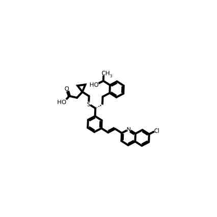 CC(O)c1ccccc1CC[C@@H](SCC1(CC(=O)O)CC1)c1cccc(/C=C/c2ccc3ccc(Cl)cc3n2)c1